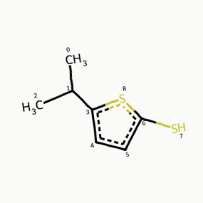 CC(C)c1ccc(S)s1